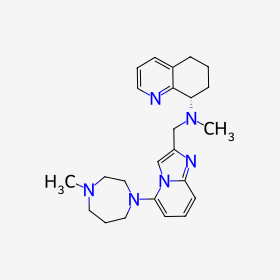 CN1CCCN(c2cccc3nc(CN(C)[C@H]4CCCc5cccnc54)cn23)CC1